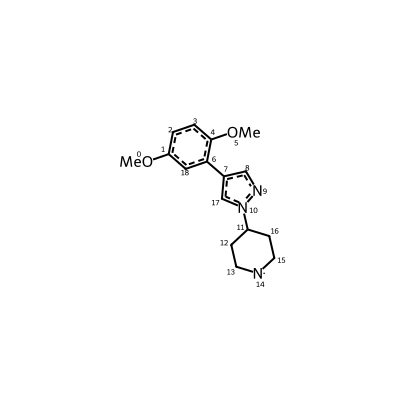 COc1ccc(OC)c(-c2cnn(C3CC[N]CC3)c2)c1